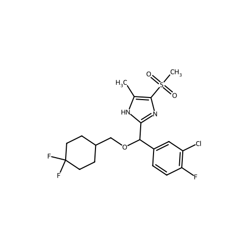 Cc1[nH]c(C(OCC2CCC(F)(F)CC2)c2ccc(F)c(Cl)c2)nc1S(C)(=O)=O